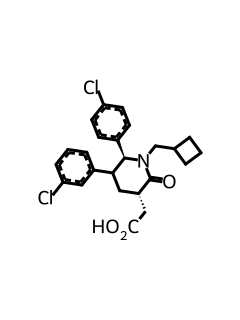 O=C(O)C[C@@H]1CC(c2cccc(Cl)c2)[C@@H](c2ccc(Cl)cc2)N(CC2CCC2)C1=O